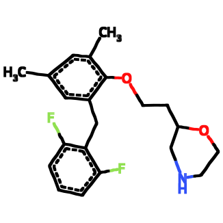 Cc1cc(C)c(OCCC2CNCCO2)c(Cc2c(F)cccc2F)c1